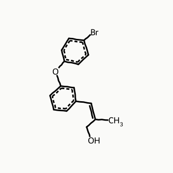 CC(=Cc1cccc(Oc2ccc(Br)cc2)c1)CO